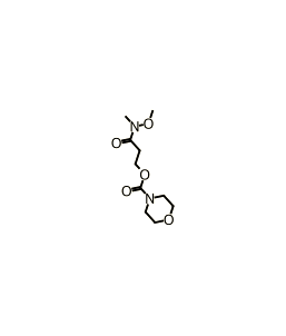 CON(C)C(=O)CCOC(=O)N1CCOCC1